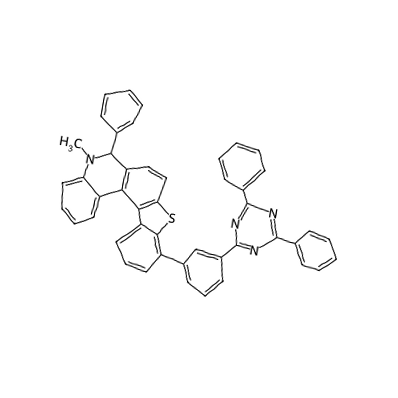 CN1c2ccccc2-c2c(ccc3sc4c(-c5cccc(-c6nc(-c7ccccc7)nc(-c7ccccc7)n6)c5)cccc4c23)C1c1ccccc1